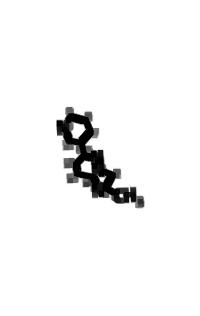 Cc1cn2nc(-c3cccnc3)ccc2n1